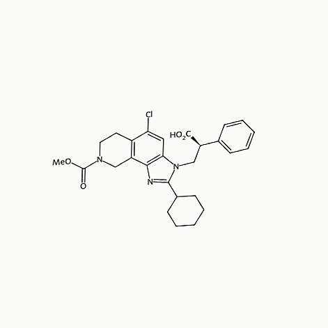 COC(=O)N1CCc2c(Cl)cc3c(nc(C4CCCCC4)n3C[C@@H](C(=O)O)c3ccccc3)c2C1